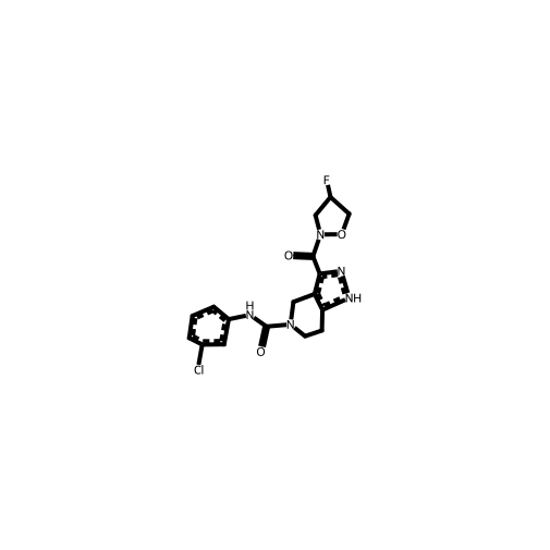 O=C(Nc1cccc(Cl)c1)N1CCc2[nH]nc(C(=O)N3CC(F)CO3)c2C1